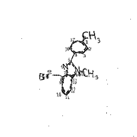 Cc1ccc(-c2nc3c(Br)cccc3n2C)cc1